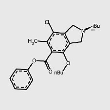 CCCCOc1c2c(c(Cl)c(C)c1C(=O)Oc1ccccc1)CN([C@H](C)CC)C2